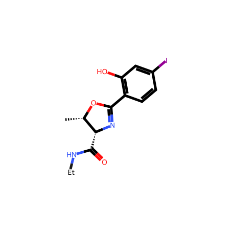 CCNC(=O)[C@H]1N=C(c2ccc(I)cc2O)O[C@H]1C